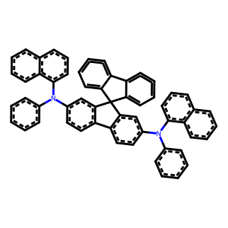 C1=C=C2C3=C=C=CC=C3C3(C2=CC=1)c1cc(N(c2ccccc2)c2cccc4ccccc24)ccc1-c1ccc(N(c2ccccc2)c2cccc4ccccc24)cc13